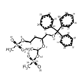 CC(OC(CCOS(C)(=O)=O)COC(c1ccccc1)(c1ccccc1)c1ccccc1)OS(C)(=O)=O